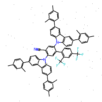 Cc1ccc(-c2ccc3c(c2)c2cc(-c4ccc(C)cc4C)ccc2n3-c2cc(-c3ccc(C(F)(F)F)cc3C(F)(F)F)c(-n3c4ccc(-c5ccc(C)cc5C)cc4c4cc(-c5ccc(C)cc5C)ccc43)cc2C#N)c(C)c1